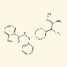 COc1ccccc1C(=O)NC(c1ccccc1)[C@H]1CC[C@H](N(C)C(N)=NC#N)CC1